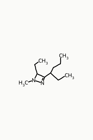 CCCC(CC)C1=NN(C)C1CC